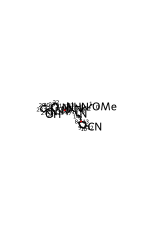 COCCNc1nc(-c2cccc(C#N)c2)cc(-c2cn(Cc3cccc(C4(O)CCCC4)n3)nn2)n1